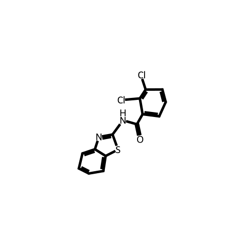 O=C(Nc1nc2ccccc2s1)c1cccc(Cl)c1Cl